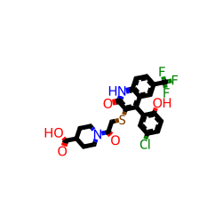 O=C(O)C1CCN(C(=O)CSc2c(-c3cc(Cl)ccc3O)c3cc(C(F)(F)F)ccc3[nH]c2=O)CC1